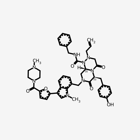 C=CCN1CC(=O)N2[C@@H](Cc3ccc(O)cc3)C(=O)N(Cc3cccc4c(-c5ccc(C(=O)N6CCN(C)CC6)o5)cn(C)c34)C[C@@H]2N1C(=O)NCc1ccccc1